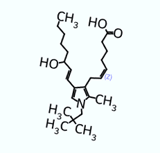 CCCCCC(O)C=Cc1cn(CC(C)(C)C)c(C)c1C/C=C\CCCC(=O)O